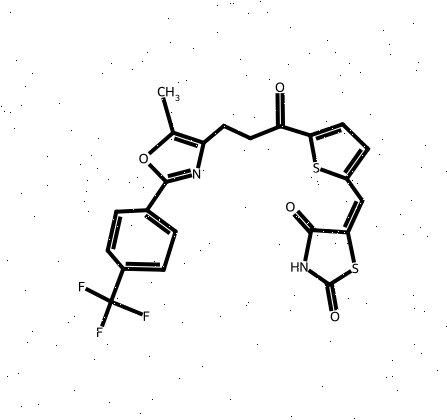 Cc1oc(-c2ccc(C(F)(F)F)cc2)nc1CCC(=O)c1ccc(C=C2SC(=O)NC2=O)s1